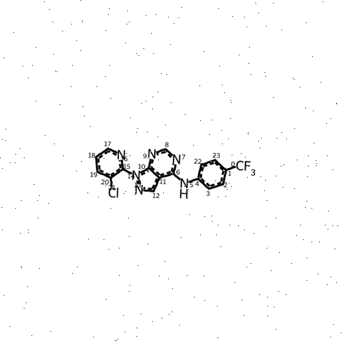 FC(F)(F)c1ccc(Nc2ncnc3c2cnn3-c2ncccc2Cl)cc1